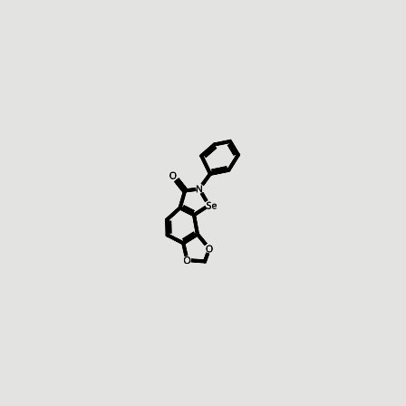 O=c1c2ccc3c(c2[se]n1-c1ccccc1)OCO3